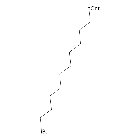 [CH2]CC(C)CCCCCCCCCCCCCCCCCC